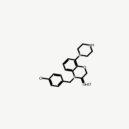 Cl.O=C1COc2c(N3CCNCC3)cccc2N1Cc1ccc(Cl)cc1